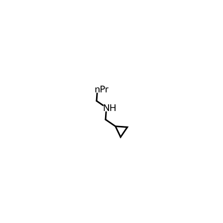 [CH2-][CH+]CCNCC1CC1